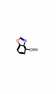 COc1cccc2ocnc12